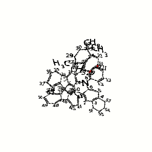 CC(C)c1cc2c(cc1N(c1ccccc1)c1cc3c(cc1-c1cccc4c1C(C)(C)CCC4(C)C)-c1ccccc1C31c3ccccc3-c3ccccc31)CCCC2